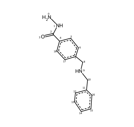 NNC(=O)c1ccc(CNCc2ccccc2)cc1